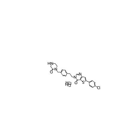 Cl.Cl.O=C1CNCCN1Cc1ccc(CCn2cnc3cc(-c4ccc(Cl)cc4)sc3c2=O)cc1